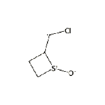 [O-][S+]1CCC1[CH]Cl